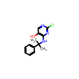 CC(C)(Nc1nc(Cl)ncc1O)c1ccccc1